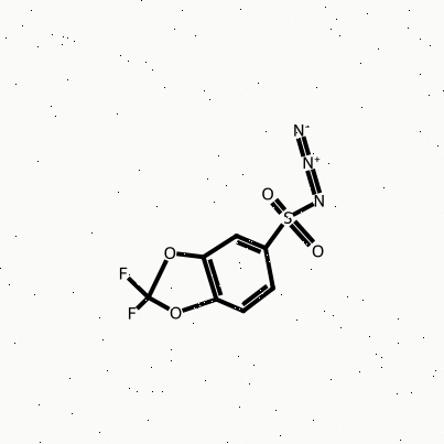 [N-]=[N+]=NS(=O)(=O)c1ccc2c(c1)OC(F)(F)O2